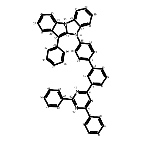 c1ccc(-c2cc(-c3cccc(-c4ccc(-n5c6ccccc6n6c7ccccc7c(-c7ccccc7)c56)cc4)c3)nc(-c3ccccc3)n2)cc1